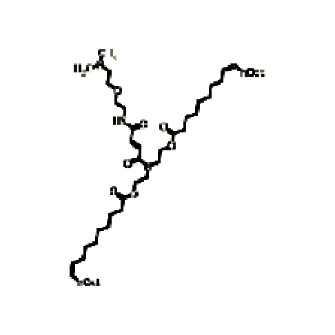 CCCCCCCC/C=C\CCCCCCCC(=O)OCCN(CCOC(=O)CCCCCCC/C=C\CCCCCCCC)C(=O)C=CC(=O)NCCOCCN(C)C